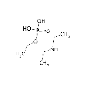 CCNCC.CCOP(=O)(O)O